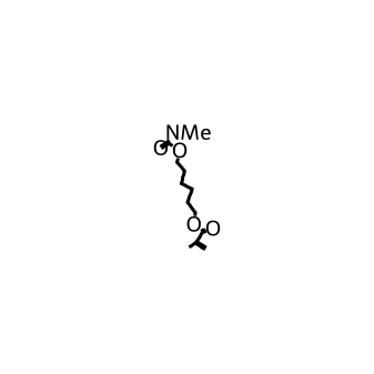 C=C(C)C(=O)OCCCCCCOC(=O)NC